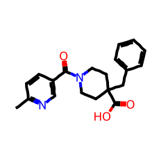 Cc1ccc(C(=O)N2CCC(Cc3ccccc3)(C(=O)O)CC2)cn1